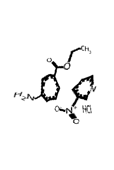 CCOC(=O)c1cccc(N)c1.Cl.O=[N+]([O-])c1cccnc1